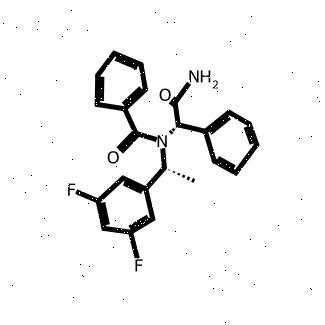 C[C@H](c1cc(F)cc(F)c1)N(C(=O)c1ccccc1)[C@H](C(N)=O)c1ccccc1